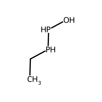 CCPPO